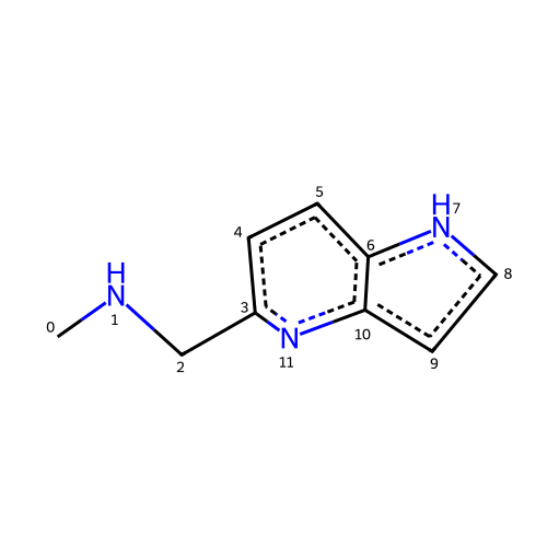 CNCc1ccc2[nH]ccc2n1